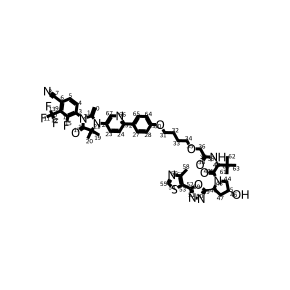 C=C1N(c2ccc(C#N)c(C(F)(F)F)c2F)C(=O)C(C)(C)N1c1ccc(-c2ccc(OCCCCOCC(=O)N[C@H](C(=O)N3C[C@H](O)C[C@H]3c3nnc(-c4scnc4C)o3)C(C)(C)C)cc2)nc1